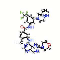 Cc1ccc(C(=O)Nc2cc(N3CCN[C@H](C)C3)cc(C(F)(F)F)c2)cc1Nc1ncnc2cnc(N3CCOCC3)nc12